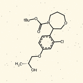 C[C@@H](O)COc1ccc(C2COCCCN2C(=O)OC(C)(C)C)c(Cl)c1